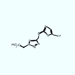 O=C(O)Cn1nnc(Sc2ncc(Cl)s2)n1